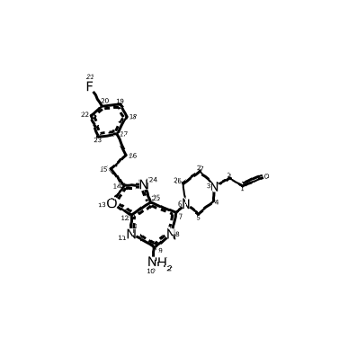 C=CCN1CCN(c2nc(N)nc3oc(CCc4ccc(F)cc4)nc23)CC1